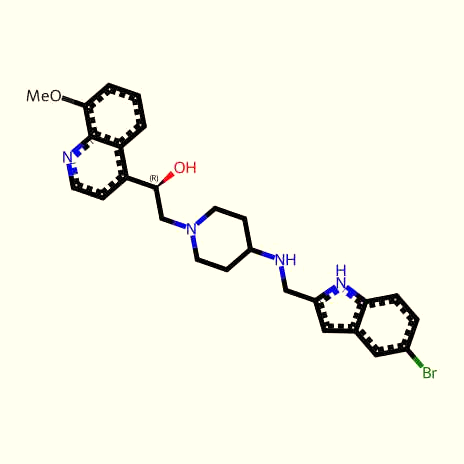 COc1cccc2c([C@@H](O)CN3CCC(NCc4cc5cc(Br)ccc5[nH]4)CC3)ccnc12